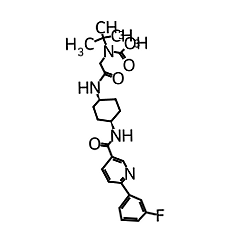 CC(C)(C)N(CC(=O)N[C@H]1CC[C@@H](NC(=O)c2ccc(-c3cccc(F)c3)nc2)CC1)C(=O)O